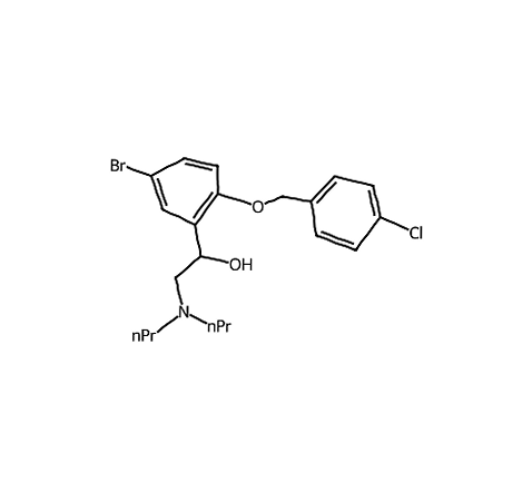 CCCN(CCC)CC(O)c1cc(Br)ccc1OCc1ccc(Cl)cc1